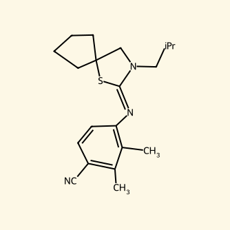 Cc1c(C#N)ccc(/N=C2\SC3(CCCC3)CN2CC(C)C)c1C